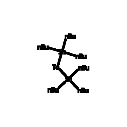 CCC[CH2][Sn]([CH2]CCC)([CH2]CCC)[Te][Sn]([CH2]CCC)([CH2]CCC)[CH2]CCC